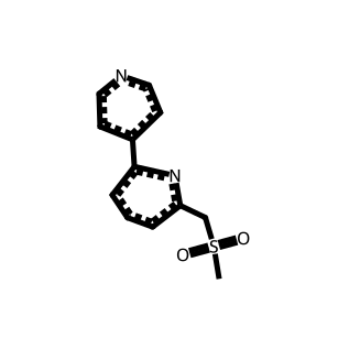 CS(=O)(=O)Cc1cccc(-c2ccncc2)n1